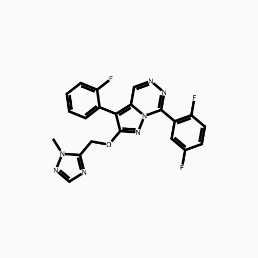 Cn1ncnc1COc1nn2c(-c3cc(F)ccc3F)nncc2c1-c1ccccc1F